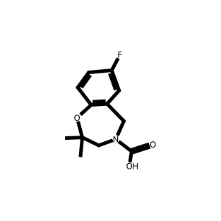 CC1(C)CN(C(=O)O)Cc2cc(F)ccc2O1